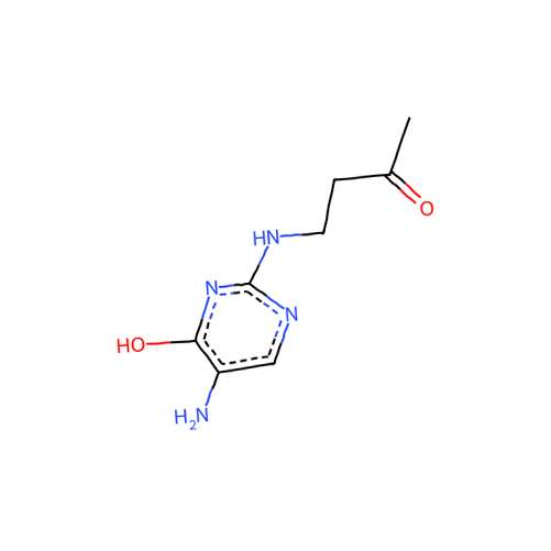 CC(=O)CCNc1ncc(N)c(O)n1